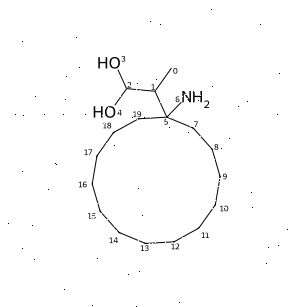 CC(C(O)O)C1(N)CCCCCCCCCCCCC1